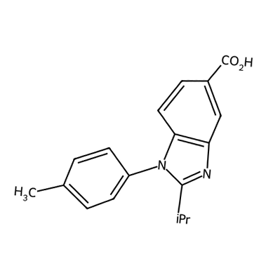 Cc1ccc(-n2c(C(C)C)nc3cc(C(=O)O)ccc32)cc1